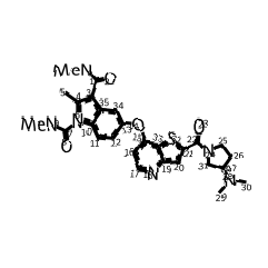 CNC(=O)c1c(C)n(C(=O)NC)c2ccc(Oc3ccnc4cc(C(=O)N5CC[C@@H](N(C)C)C5)sc34)cc12